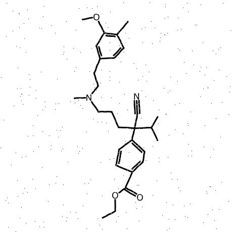 CCOC(=O)c1ccc(C(C#N)(CCCN(C)CCc2ccc(C)c(OC)c2)C(C)C)cc1